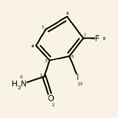 NC(=O)c1cccc(F)c1I